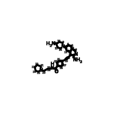 Nc1ncc2ccc(N3CCC(N)CC3)cc2c1C#Cc1ccc(C(=O)NCCCN2CCCCC2)cc1